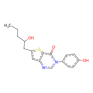 CCCC(O)Cc1cc2ncn(-c3ccc(O)cc3)c(=O)c2s1